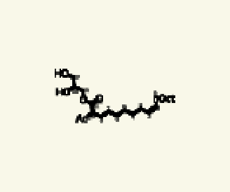 CCCCCCCC/C=C\CCCCCCC(C(C)=O)C(=O)OCC(O)CO